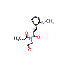 CCC(=O)N(C[C]=O)C(=O)/C=C/c1ccccc1NC